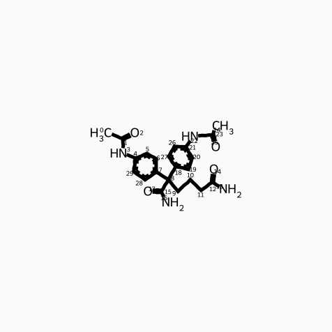 CC(=O)Nc1ccc(C(CCCC(N)=O)(C(N)=O)c2ccc(NC(C)=O)cc2)cc1